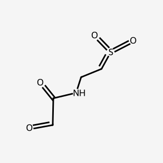 O=CC(=O)NCC=S(=O)=O